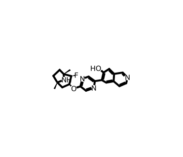 C[C@@]12CC[C@@](C)(N1)[C@H](F)[C@@H](Oc1cnc(-c3cc4ccncc4cc3O)cn1)C2